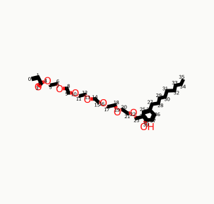 C=CC(=O)OCCOCCOCCOCCOCCOCCOCc1cc(CCCCCCCCC)ccc1O